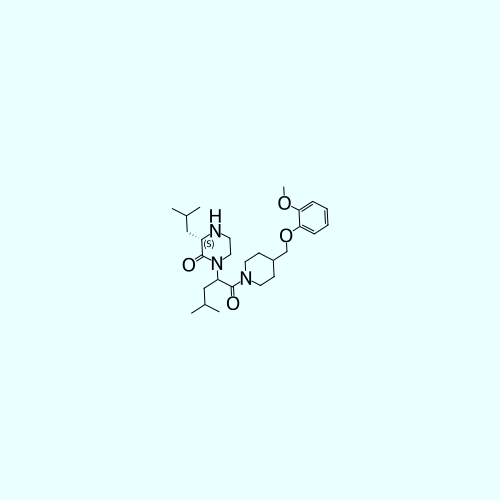 COc1ccccc1OCC1CCN(C(=O)C(CC(C)C)N2CCN[C@@H](CC(C)C)C2=O)CC1